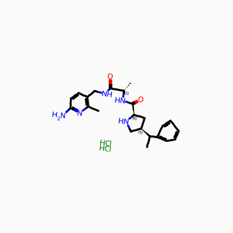 Cc1nc(N)ccc1CNC(=O)[C@H](C)NC(=O)[C@H]1C[C@@H](C(C)c2ccccc2)CN1.Cl.Cl